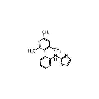 Cc1cc(C)c(-c2ccccc2Nc2nccs2)c(C)c1